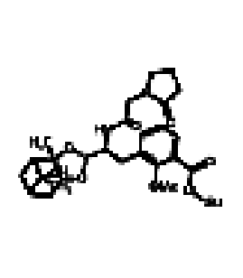 COc1c(CC(NC(=O)CN2CCCC2=O)B2OC3CC4CC(C4(C)C)C3(C)O2)cccc1C(=O)OC(C)(C)C